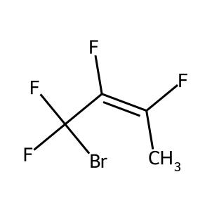 C/C(F)=C(/F)C(F)(F)Br